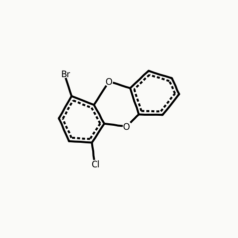 Clc1ccc(Br)c2c1Oc1ccccc1O2